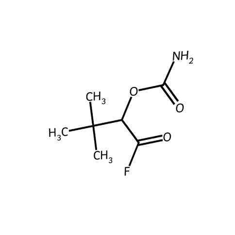 CC(C)(C)C(OC(N)=O)C(=O)F